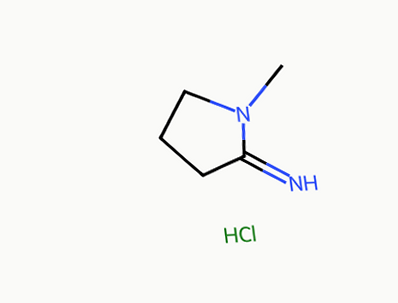 CN1CCCC1=N.Cl